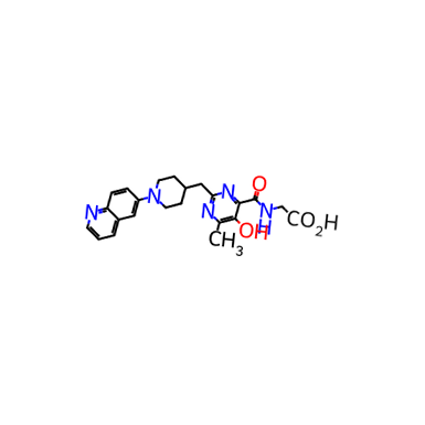 Cc1nc(CC2CCN(c3ccc4ncccc4c3)CC2)nc(C(=O)NCC(=O)O)c1O